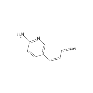 N=C/C=C\c1ccc(N)nc1